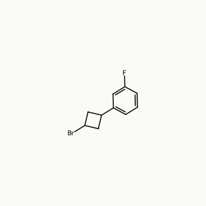 Fc1cccc(C2CC(Br)C2)c1